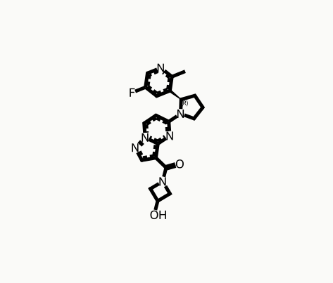 Cc1ncc(F)cc1[C@H]1CCCN1c1ccn2ncc(C(=O)N3CC(O)C3)c2n1